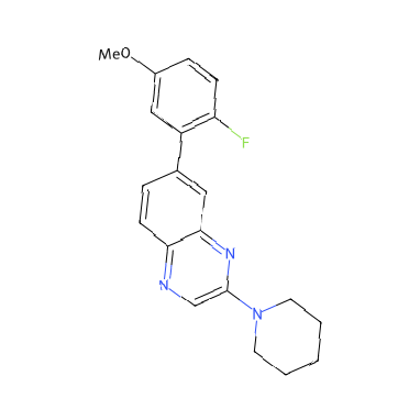 COc1ccc(F)c(-c2ccc3ncc(N4CCCCC4)nc3c2)c1